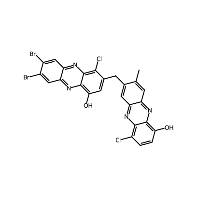 Cc1cc2nc3c(O)ccc(Cl)c3nc2cc1Cc1cc(O)c2nc3cc(Br)c(Br)cc3nc2c1Cl